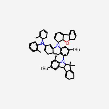 CC1=CC=CCC1N(C1=CCC2B3c4cc(C(C)(C)C)cc5c4N(c4cc(C(C)(C)C)cc(c43)N(C3C=CC=C4C6=CC=CCC6OC43)C2=C1)C1C5C2=CCCC=C2C1(C)C)c1ccccc1C